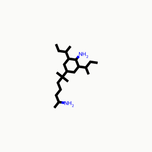 CCC(C)C1CC(C(C)(C)CCCC(C)N)CC(C(C)CC)C1N